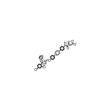 COC(CN(SC)C(=O)Nc1ccc(N2CCN(c3ccc(OCC4COC(Cn5ccnc5)(c5ccc(Cl)cc5Cl)O4)cc3)CC2)cc1)OC